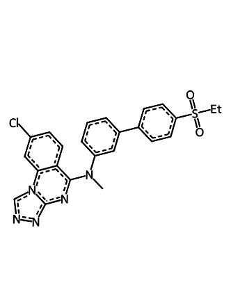 CCS(=O)(=O)c1ccc(-c2cccc(N(C)c3nc4nncn4c4cc(Cl)ccc34)c2)cc1